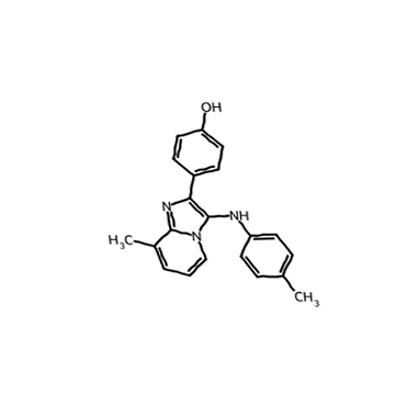 Cc1ccc(Nc2c(-c3ccc(O)cc3)nc3c(C)cccn23)cc1